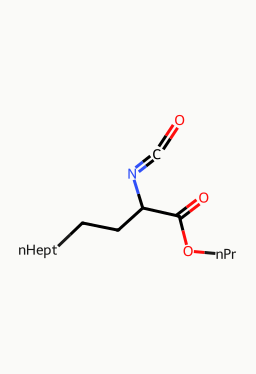 CCCCCCCCCC(N=C=O)C(=O)OCCC